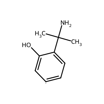 CC(C)(N)c1cc[c]cc1O